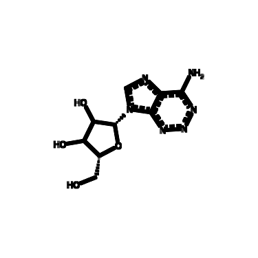 Nc1nnnc2c1ncn2[C@@H]1O[C@H](CO)C(O)C1O